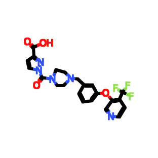 O=C(O)c1ccn(C(=O)N2CCN(Cc3cccc(Oc4cnccc4C(F)(F)F)c3)CC2)n1